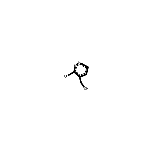 Cc1nnccc1CO